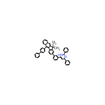 CC1(C)C2=CC3C=CC=CC3C(c3ccc(-c4ccccc4)cc3)=C2c2ccc(-c3cccc(C4=CC(c5ccccc5)=NC(c5ccccc5)N4)c3)cc21